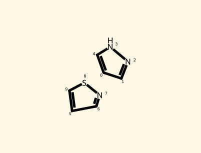 c1cn[nH]c1.c1cnsc1